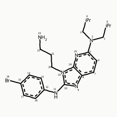 CC(C)CN(CC(C)C)c1ccc2nc(Nc3ccc(Br)cc3)n(CCCN)c2n1